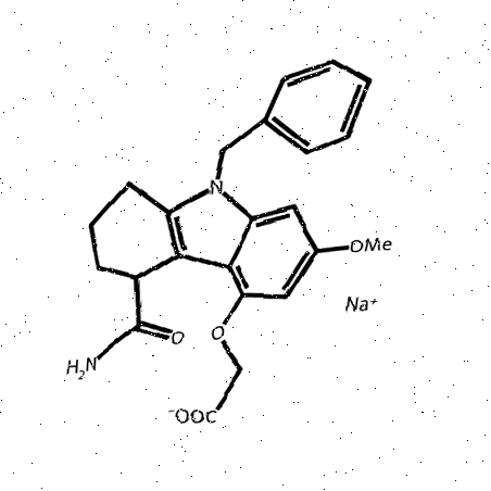 COc1cc(OCC(=O)[O-])c2c3c(n(Cc4ccccc4)c2c1)CCCC3C(N)=O.[Na+]